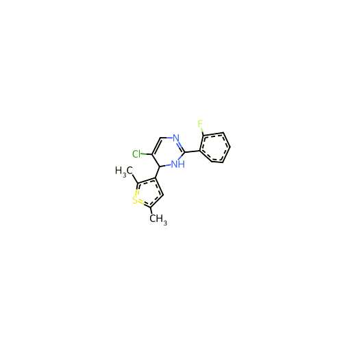 Cc1cc(C2NC(c3ccccc3F)=NC=C2Cl)c(C)s1